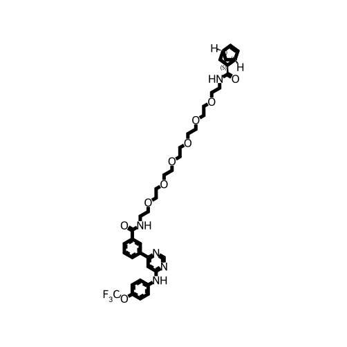 O=C(NCCOCCOCCOCCOCCOCCOCCNC(=O)[C@H]1C[C@H]2C=C[C@@H]1C2)c1cccc(-c2cc(Nc3ccc(OC(F)(F)F)cc3)ncn2)c1